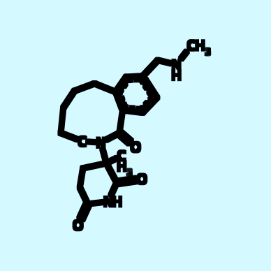 CNCc1ccc2c(c1)CCCCCN(C1(C)CCC(=O)NC1=O)C2=O